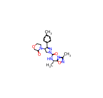 Cc1ccc(C2=NN(C(=O)N[C@H](C)c3nc(C)no3)CC2N2CCOCC2=O)cc1